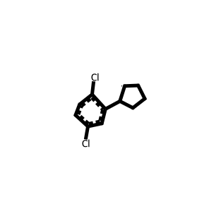 Clc1ccc(Cl)c(C2[CH]CCC2)c1